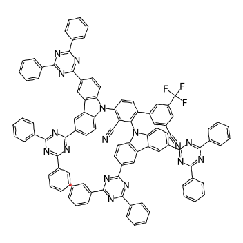 N#Cc1cc(-c2ccc(-n3c4ccc(-c5nc(-c6ccccc6)nc(-c6ccccc6)n5)cc4c4cc(-c5nc(-c6ccccc6)nc(-c6ccccc6)n5)ccc43)c(C#N)c2-n2c3ccc(-c4nc(-c5ccccc5)nc(-c5ccccc5)n4)cc3c3cc(-c4nc(-c5ccccc5)nc(-c5ccccc5)n4)ccc32)cc(C(F)(F)F)c1